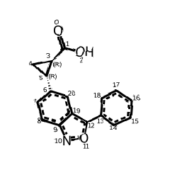 O=C(O)[C@@H]1C[C@H]1c1ccc2noc(-c3ccccc3)c2c1